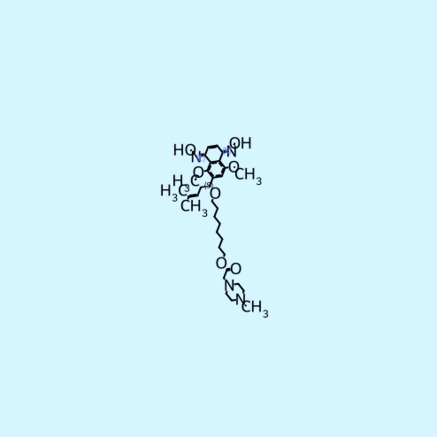 COc1cc([C@H](CC=C(C)C)OCCCCCCCCOC(=O)CN2CCN(C)CC2)c(OC)c2c1/C(=N/O)C=C/C2=N\O